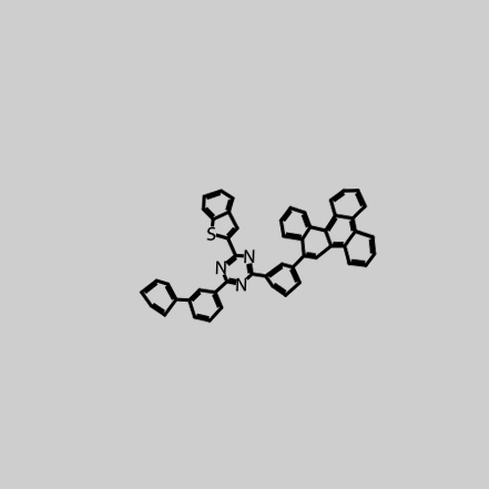 c1ccc(-c2cccc(-c3nc(-c4cccc(-c5cc6c7ccccc7c7ccccc7c6c6ccccc56)c4)nc(-c4cc5ccccc5s4)n3)c2)cc1